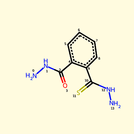 NNC(=O)c1ccccc1C(=S)NN